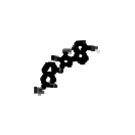 Cc1ncnc2c1C=CC2C1CC(Oc2cccc3c2CNC(C)C3)C(O)C1O